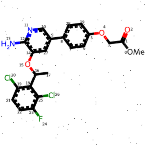 COC(=O)COc1ccc(-c2cnc(N)c(OC(C)c3c(Cl)ccc(F)c3Cl)c2)cc1